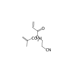 C=C(C)C(=O)O.C=CC(=O)OCCC#N